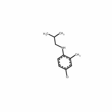 Cc1cc(Cl)ccc1NCC(C)C